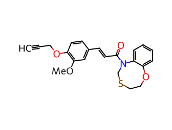 C#CCOc1ccc(/C=C/C(=O)N2CSCCOc3ccccc32)cc1OC